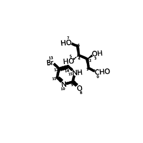 O=CC[C@H](O)[C@H](O)CO.O=c1ncc(Br)c[nH]1